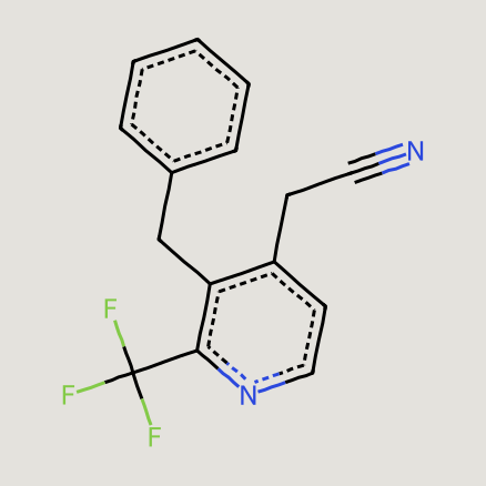 N#CCc1ccnc(C(F)(F)F)c1Cc1ccccc1